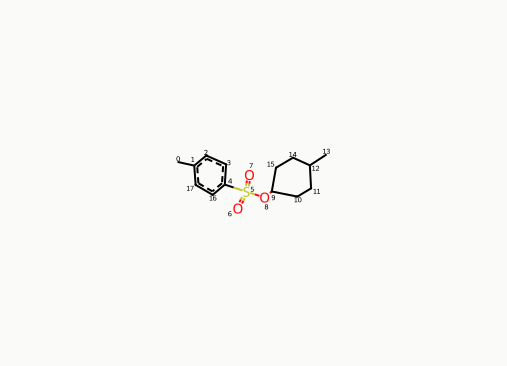 Cc1ccc(S(=O)(=O)OC2CCC(C)CC2)cc1